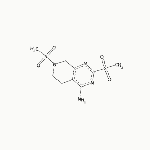 CS(=O)(=O)c1nc(N)c2c(n1)CN(S(C)(=O)=O)CC2